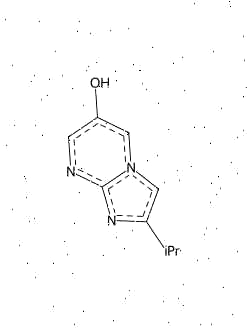 CC(C)c1cn2cc(O)cnc2n1